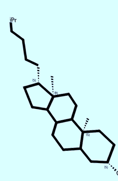 CC(C)CCCC[C@H]1CCC2C3CCC4C[C@@H](O)CC[C@]4(C)C3CC[C@@]21C